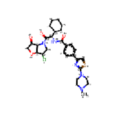 CN1CCN(c2nc(-c3ccc(C(=O)N[C@H](C(=O)N4C[C@@H](Cl)C5OCC(=O)C54)C4CCCCC4)cc3)cs2)CC1